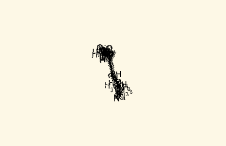 CC1(C)[C@H](NC(=O)c2ccc(C(=O)NCCCCCCCCCCNc3cccc4c3C(=O)N(C3CCC(=O)NC3=O)C4=O)cc2)C(C)(C)[C@H]1Oc1ccc(C#N)c(Cl)c1